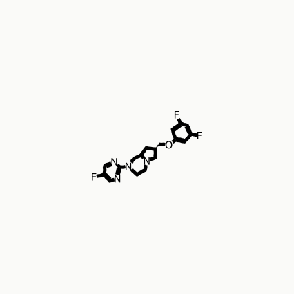 Fc1cnc(N2CCN3C[C@@H](COc4cc(F)cc(F)c4)CC3C2)nc1